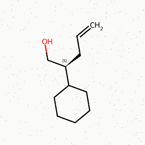 C=CC[C@H](CO)C1CCCCC1